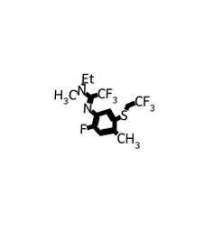 CCN(C)/C(=N/c1cc(SCC(F)(F)F)c(C)cc1F)C(F)(F)F